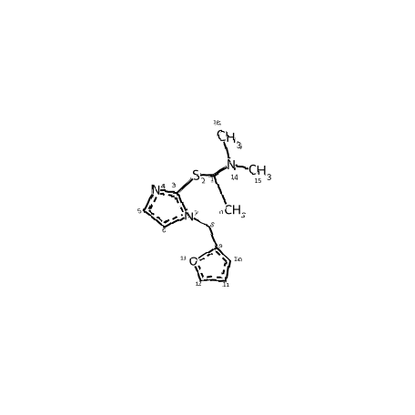 CC(Sc1nccn1Cc1ccco1)N(C)C